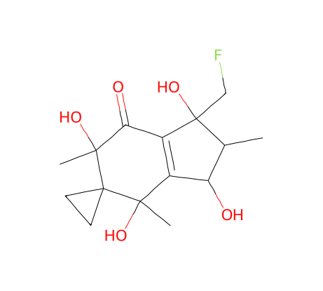 CC1C(O)C2=C(C(=O)C(C)(O)C3(CC3)C2(C)O)C1(O)CF